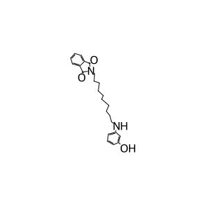 O=C1c2ccccc2C(=O)N1CCCCCCCCCCNc1cccc(O)c1